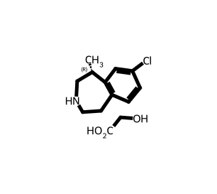 C[C@H]1CNCCc2ccc(Cl)cc21.O=C(O)CO